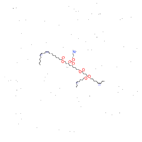 CC/C=C\CCCCOC(CCC(=O)OCCCCC(CCCCOC(=O)CCCCCCC/C=C\C/C=C\CCCCC)OC(=O)OCCCN(C)C)OCCCC/C=C\CC